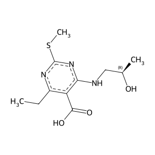 CCc1nc(SC)nc(NC[C@@H](C)O)c1C(=O)O